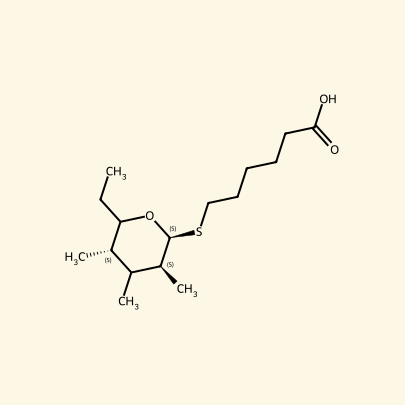 CCC1O[C@@H](SCCCCCC(=O)O)[C@@H](C)C(C)[C@@H]1C